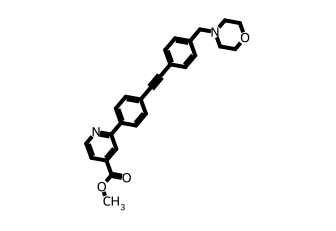 COC(=O)c1ccnc(-c2ccc(C#Cc3ccc(CN4CCOCC4)cc3)cc2)c1